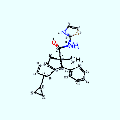 CC1(C(=O)Nc2nccs2)Cc2ccc(C3CC3)cc2C1c1ccccc1